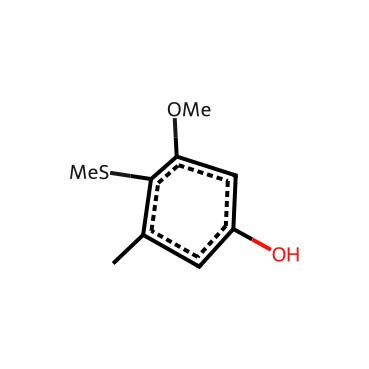 COc1cc(O)cc(C)c1SC